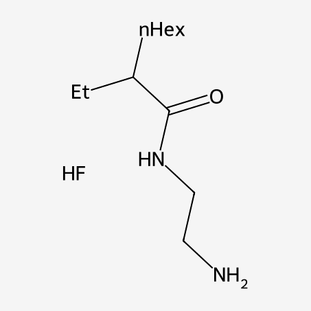 CCCCCCC(CC)C(=O)NCCN.F